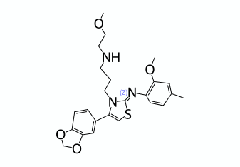 COCCNCCCn1c(-c2ccc3c(c2)OCO3)cs/c1=N\c1ccc(C)cc1OC